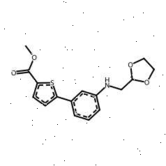 COC(=O)c1ccc(-c2cccc(NCC3OCCO3)c2)s1